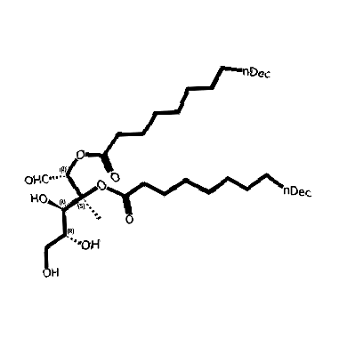 CCCCCCCCCCCCCCCCCC(=O)O[C@@H](C=O)[C@@](C)(OC(=O)CCCCCCCCCCCCCCCCC)[C@H](O)[C@H](O)CO